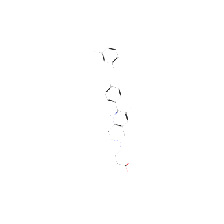 CC(CCN1CCc2nc(-c3ccc(OCc4cccc(Cl)c4)cc3)c(F)cc2C1)C(=O)O